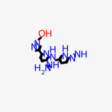 N=C/N=c1/ccc(CNc2nc(-c3cnn(CCO)c3)ccc2NN)c[nH]1